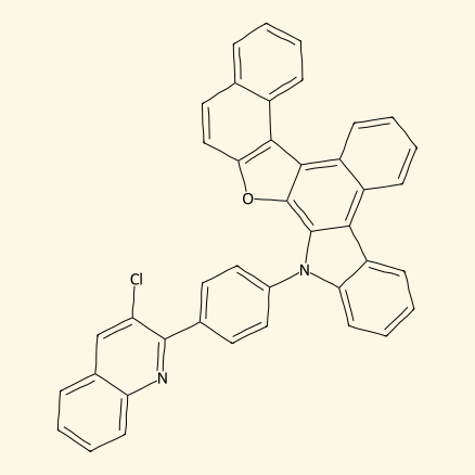 Clc1cc2ccccc2nc1-c1ccc(-n2c3ccccc3c3c4ccccc4c4c(oc5ccc6ccccc6c54)c32)cc1